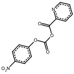 O=C(OC(=O)c1ccccn1)Oc1ccc([N+](=O)[O-])cc1